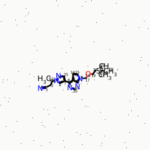 C[C@@H](CC#N)n1cc(-c2ncnc3c2ccn3COCC[Si](C)(C)C)cn1